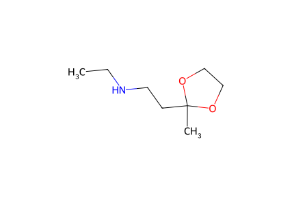 CCNCCC1(C)OCCO1